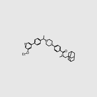 CCOc1cncc(-c2ccc(C(C)N3CCN(c4ccc(C(=O)N(C)CC56CC7CC(CC(C7)C5)C6)cc4)CC3)cc2)c1